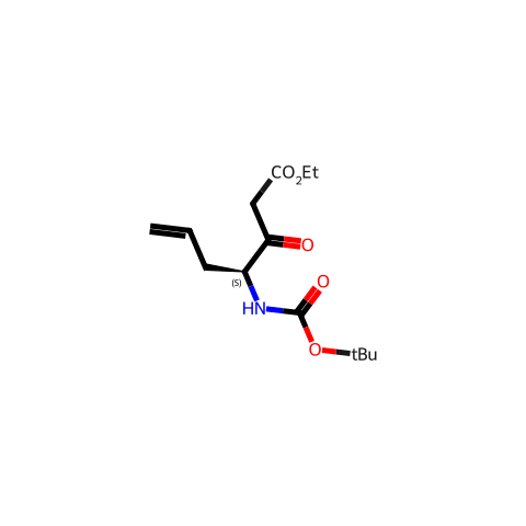 C=CC[C@H](NC(=O)OC(C)(C)C)C(=O)CC(=O)OCC